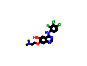 CN(C)CCOc1cc2ncnc(Nc3ccc(Cl)c(Cl)c3F)c2cc1O